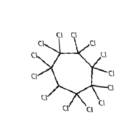 ClC1C(Cl)(Cl)C(Cl)(Cl)C(Cl)(Cl)C(Cl)(Cl)C(Cl)(Cl)C1(Cl)Cl